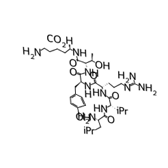 CC(C)C[C@H](N)C(=O)N[C@H](C(=O)N[C@@H](CCCN=C(N)N)C(=O)N[C@@H](Cc1ccc(O)cc1)C(=O)N[C@H](C(=O)N[C@@H](CCCCN)C(=O)O)[C@@H](C)O)C(C)C